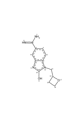 N=C(N)c1ccc2c(c1)nc(O)n2CC1CCO1